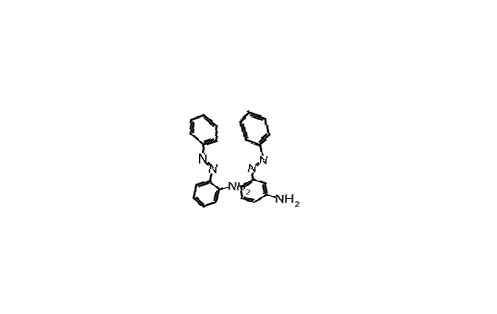 Nc1cccc(N=Nc2ccccc2)c1.Nc1ccccc1N=Nc1ccccc1